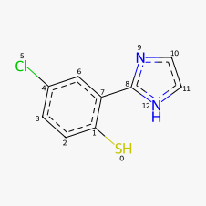 Sc1ccc(Cl)cc1-c1ncc[nH]1